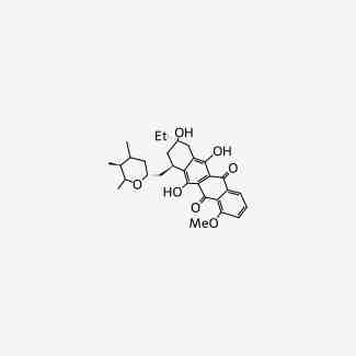 CC[C@]1(O)Cc2c(O)c3c(c(O)c2[C@@H](C[C@H]2CC(C)[C@H](C)C(C)O2)C1)C(=O)c1c(OC)cccc1C3=O